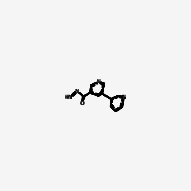 N=NC(=O)c1cncc(-c2cccnc2)c1